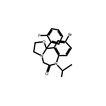 CC(C)N1C(=O)CN2CCOC2(c2ccccc2F)c2cc(Br)ccc21